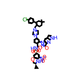 Cn1c(=O)c2nc3[nH]ccc3cc2n1-c1cc(N2CCN(CC3=C(c4ccc(Cl)cc4)CC(C)(C)CC3)CC2)ccc1C(=O)NS(=O)(=O)c1cc2c(c([N+](=O)[O-])c1)N[C@@H](C1CC1)CO2